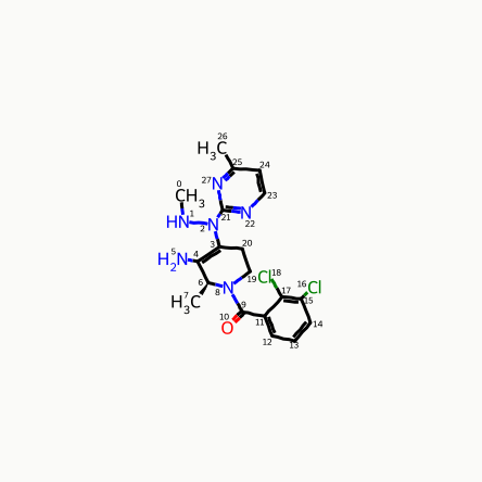 CNN(C1=C(N)[C@H](C)N(C(=O)c2cccc(Cl)c2Cl)CC1)c1nccc(C)n1